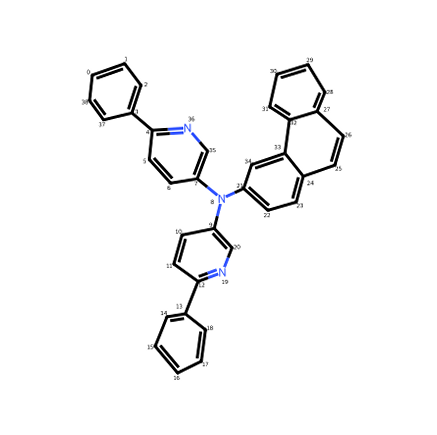 c1ccc(-c2ccc(N(c3ccc(-c4ccccc4)nc3)c3ccc4ccc5ccccc5c4c3)cn2)cc1